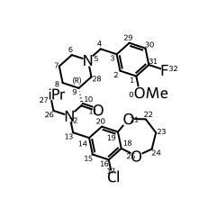 COc1cc(CN2CCC[C@@H](C(=O)N(Cc3cc(Cl)c4c(c3)OCCCO4)CC(C)C)C2)ccc1F